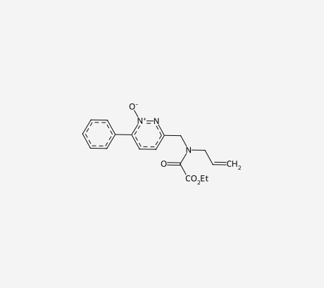 C=CCN(Cc1ccc(-c2ccccc2)[n+]([O-])n1)C(=O)C(=O)OCC